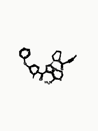 CC#CC(=O)N1CCC[C@H]1c1nc(C(=O)c2ccc(Oc3ccccc3)cc2C)c2c(N)nccn12